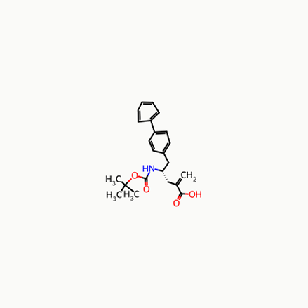 C=C(C[C@@H](Cc1ccc(-c2ccccc2)cc1)NC(=O)OC(C)(C)C)C(=O)O